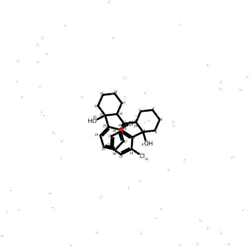 O=C(C1CCCCC1(O)c1ccccc1Cl)C1CCCCC1(O)c1ccccc1Cl